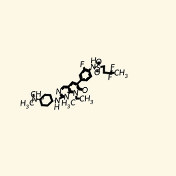 CC(C)n1c(=O)c(-c2ccc(NS(=O)(=O)CCC(C)(F)F)c(F)c2)cc2cnc(N[C@H]3CC[C@H](N(C)C)CC3)nc21